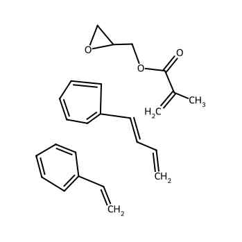 C=C(C)C(=O)OCC1CO1.C=CC=Cc1ccccc1.C=Cc1ccccc1